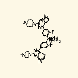 CN1CCN(c2cn3nccc3c(-c3ccc(C(N)c4ccc(-c5nc(N6CCN(C)CC6)cn6nccc56)cc4F)c(F)c3)n2)CC1.Cl.Cl